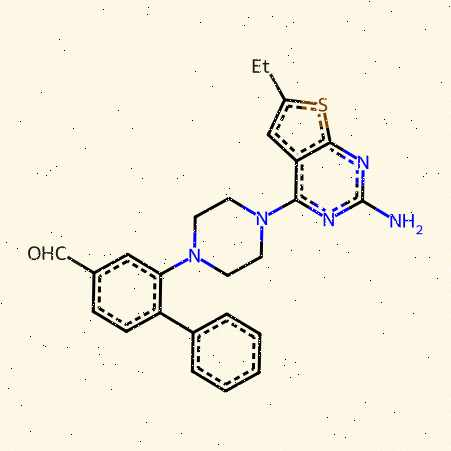 CCc1cc2c(N3CCN(c4cc(C=O)ccc4-c4ccccc4)CC3)nc(N)nc2s1